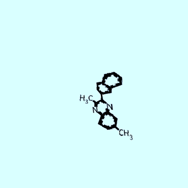 Cc1ccc2nc(C)c(-c3ccc4ccccc4c3)nc2c1